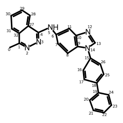 Cc1nnc(Nc2ccc3c(c2)ncn3-c2ccc(-c3ccccc3)cc2)c2ccccc12